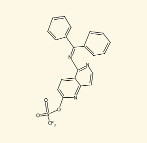 O=S(=O)(Oc1ccc2c(N=C(c3ccccc3)c3ccccc3)nccc2n1)C(F)(F)F